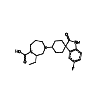 CCC1CN(C2CCC3(CC2)C(=O)Nc2ccc(F)cc23)CCCN1C(=O)O